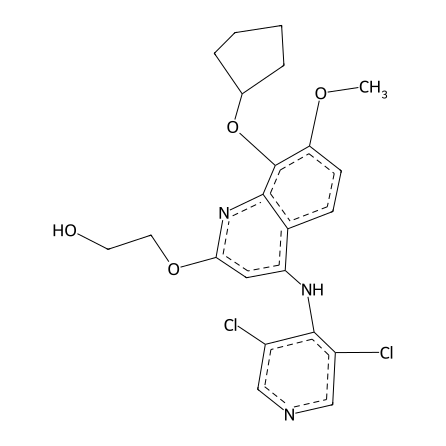 COc1ccc2c(Nc3c(Cl)cncc3Cl)cc(OCCO)nc2c1OC1CCCC1